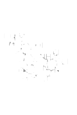 O=S(=O)(O)c1cc(O)c2c(Nc3nc(Cl)nc(Cl)c3Cl)cc(S(=O)(=O)O)cc2c1